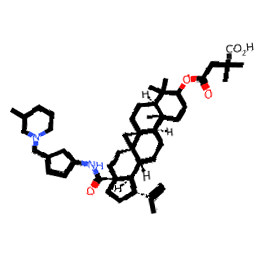 C=C(C)[C@@H]1CC[C@]2(C(=O)NC3CCC(CN4CCCC(C)C4)C3)CC[C@@]34C[C@]35CC[C@H]3C(C)(C)C(OC(=O)CC(C)(C)C(=O)O)CC[C@]3(C)[C@H]5CC[C@@H]4[C@@H]12